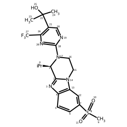 CC(C)[C@@H]1c2nc3ccc(S(C)(=O)=O)cc3n2CCN1c1ncc(C(C)(C)O)c(C(F)(F)F)n1